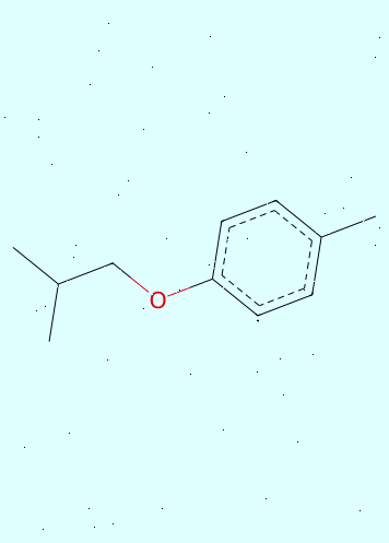 Cc1c[c]c(OCC(C)C)cc1